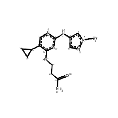 CC(C)n1cc(Nc2ncc(C3CC3)c(NCCC(N)=O)n2)cn1